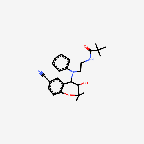 CC(C)(C)C(=O)NCCN(c1ccccc1)C1c2cc(C#N)ccc2OC(C)(C)C1O